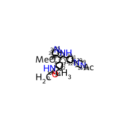 C=CC(=O)Nc1cc(-c2c(-c3ccc(N4CCN(C(C)=O)CC4)cc3)[nH]c3nccc(OC)c23)ccc1C